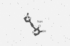 Cn1ccc(C#Cc2nccc(S)c2Cl)n1.[NaH]